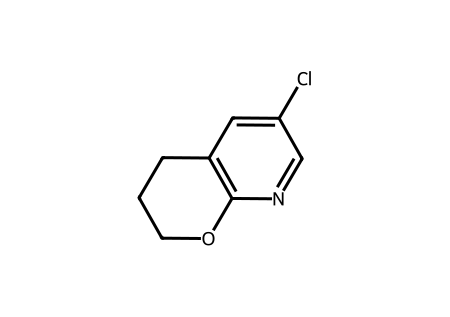 Clc1cnc2c(c1)CCCO2